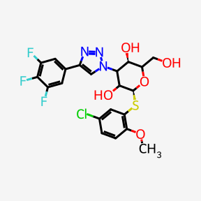 COc1ccc(Cl)cc1S[C@@H]1OC(CO)[C@H](O)C(n2cc(-c3cc(F)c(F)c(F)c3)nn2)C1O